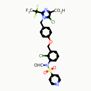 O=CN(c1cccc(COc2ccc(Cn3c(C(F)(F)C(F)(F)F)nc(C(=O)O)c3Cl)cc2)c1Cl)S(=O)(=O)c1ccncc1